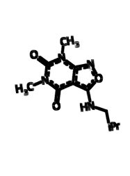 CC(C)CNc1onc2c1c(=O)n(C)c(=O)n2C